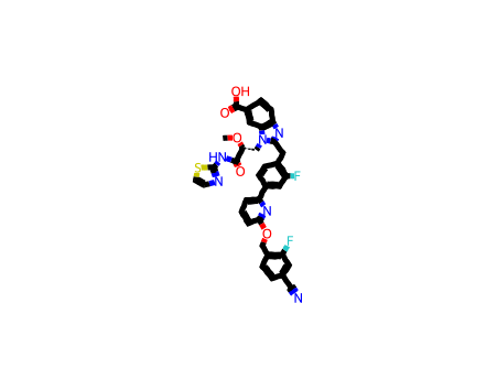 CO[C@H](Cn1c(Cc2ccc(-c3cccc(OCc4ccc(C#N)cc4F)n3)cc2F)nc2ccc(C(=O)O)cc21)C(=O)Nc1nccs1